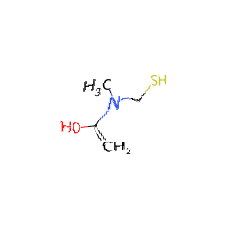 C=C(O)N(C)CS